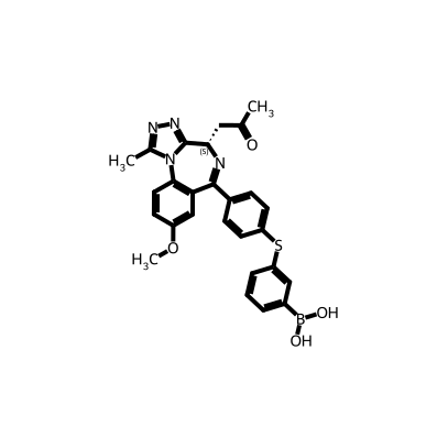 COc1ccc2c(c1)C(c1ccc(Sc3cccc(B(O)O)c3)cc1)=N[C@@H](CC(C)=O)c1nnc(C)n1-2